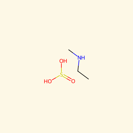 CCNC.O=S(O)O